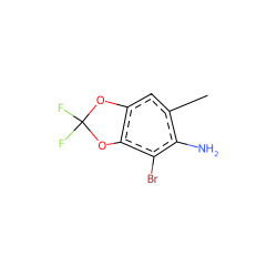 Cc1cc2c(c(Br)c1N)OC(F)(F)O2